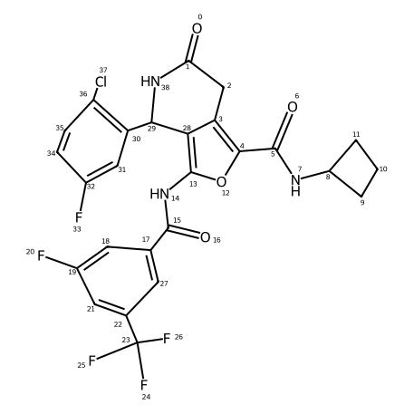 O=C1Cc2c(C(=O)NC3CCC3)oc(NC(=O)c3cc(F)cc(C(F)(F)F)c3)c2C(c2cc(F)ccc2Cl)N1